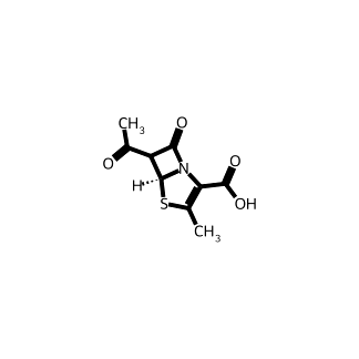 CC(=O)C1C(=O)N2C(C(=O)O)=C(C)S[C@@H]12